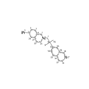 CC(C)c1ccc2c[n+](CC(C)(C)c3ccc4ccncc4c3)ccc2c1